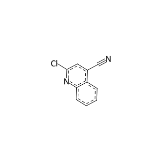 N#Cc1cc(Cl)nc2ccccc12